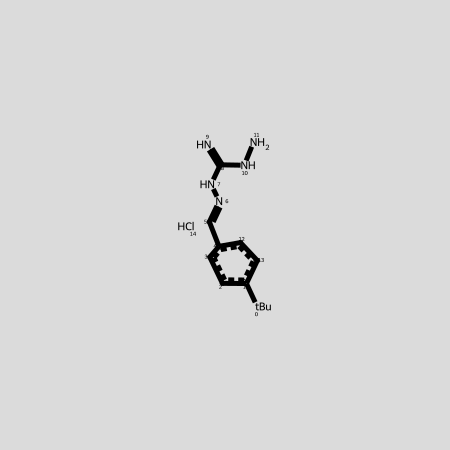 CC(C)(C)c1ccc(/C=N/NC(=N)NN)cc1.Cl